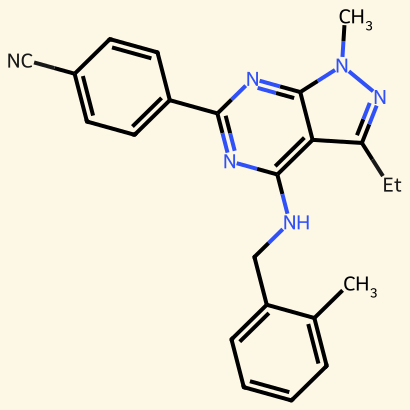 CCc1nn(C)c2nc(-c3ccc(C#N)cc3)nc(NCc3ccccc3C)c12